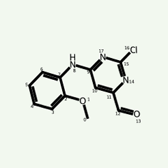 COc1ccccc1Nc1cc(C=O)nc(Cl)n1